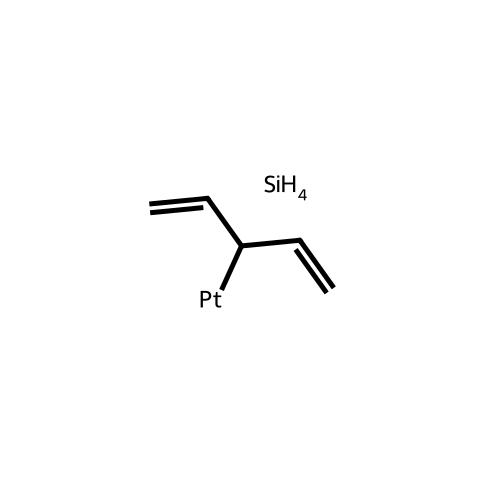 C=C[CH]([Pt])C=C.[SiH4]